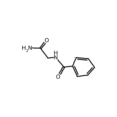 NC(=O)CNC(=O)c1[c]cccc1